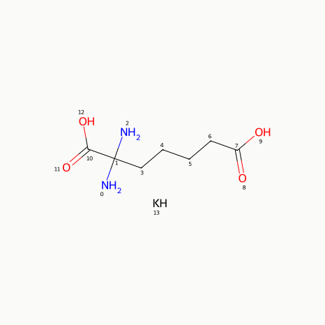 NC(N)(CCCCC(=O)O)C(=O)O.[KH]